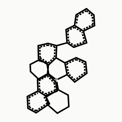 c1ccc(P(C2CCCCC2)C2CCCCC2)c(-c2c(-c3ccc4ccccc4c3)cccc2-c2ccc3ccccc3c2)c1